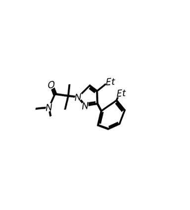 CCc1ccccc1-c1nn(C(C)(C)C(=O)N(C)C)cc1CC